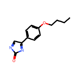 CCCCOc1ccc(C2=NC(=O)N=C2)cc1